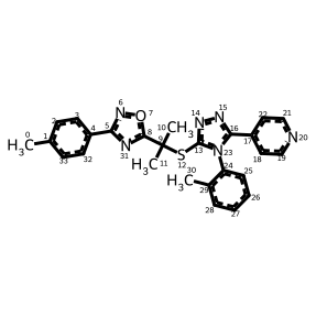 Cc1ccc(-c2noc(C(C)(C)Sc3nnc(-c4ccncc4)n3-c3ccccc3C)n2)cc1